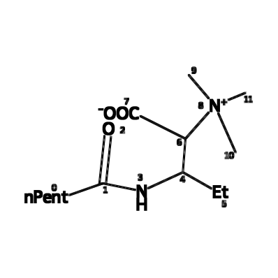 CCCCCC(=O)NC(CC)C(C(=O)[O-])[N+](C)(C)C